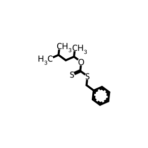 CC(C)CC(C)OC(=S)SCc1ccccc1